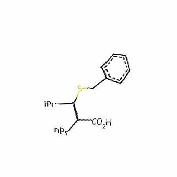 CCCC(C(=O)O)C(SCc1ccccc1)C(C)C